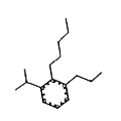 C[CH]CCCc1c(CCC)cccc1C(C)C